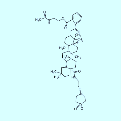 CC(=O)NCCOC(=O)c1ccccc1C(=O)C[C@H]1CC[C@]2(C)C3CCC4=C5CC(C)(C)CC[C@]5(C(=O)NCCCN5CCS(=O)(=O)CC5)CC[C@@]4(C)[C@]3(C)CC[C@H]2C1(C)C